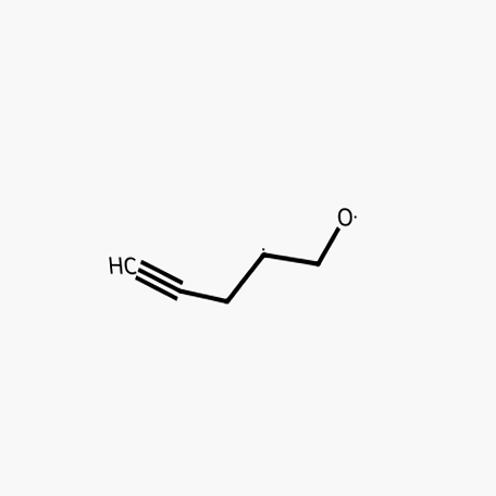 C#CC[CH]C[O]